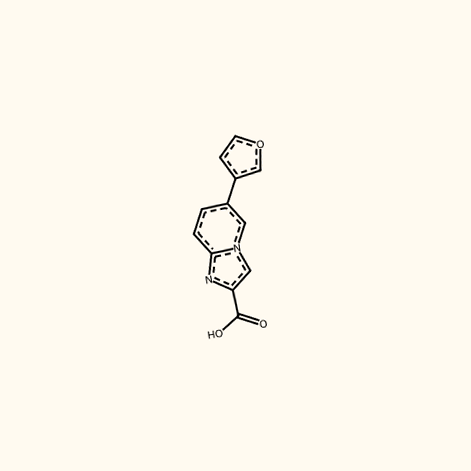 O=C(O)c1cn2cc(-c3ccoc3)ccc2n1